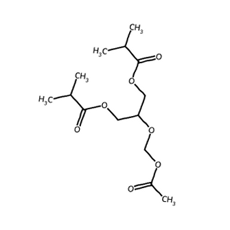 CC(=O)OCOC(COC(=O)C(C)C)COC(=O)C(C)C